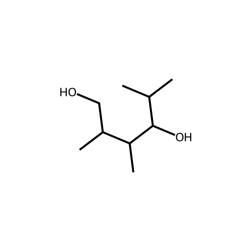 CC(C)C(O)C(C)C(C)CO